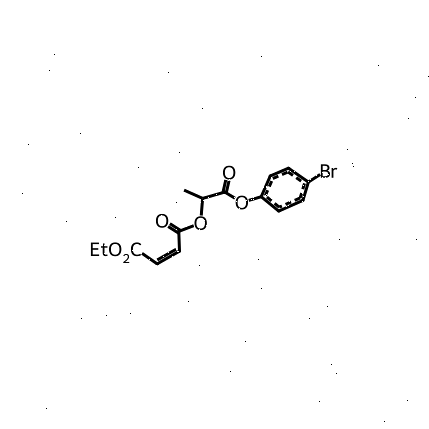 CCOC(=O)/C=C\C(=O)OC(C)C(=O)Oc1ccc(Br)cc1